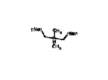 CCCCCCCCCC[PH](C)(C)CCCCCCCCCC